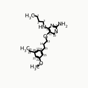 CCCCNc1nc(N)ncc1OCCCc1cc(CC)cc(OC)c1